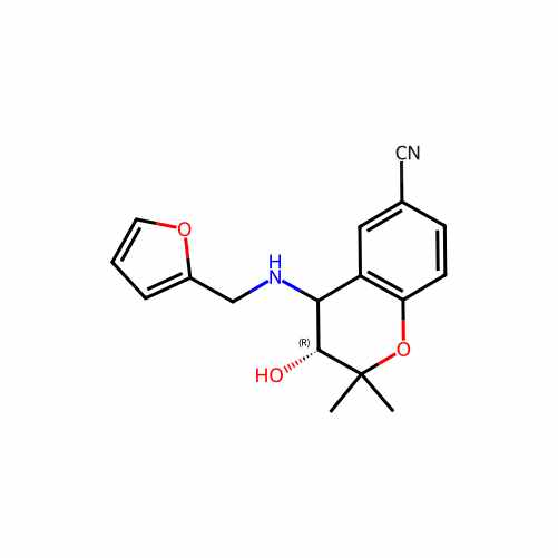 CC1(C)Oc2ccc(C#N)cc2C(NCc2ccco2)[C@H]1O